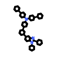 c1ccc(-c2ccc(N(c3ccc(-c4ccccc4)cc3)c3ccc(-c4cccc(-c5ccc6c(c5)nc(-c5ccccc5)n6-c5ccccc5)c4)cc3)cc2)cc1